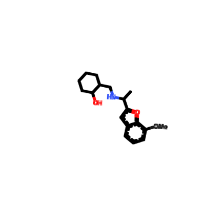 COc1cccc2cc(C(C)NCC3CCCCC3O)oc12